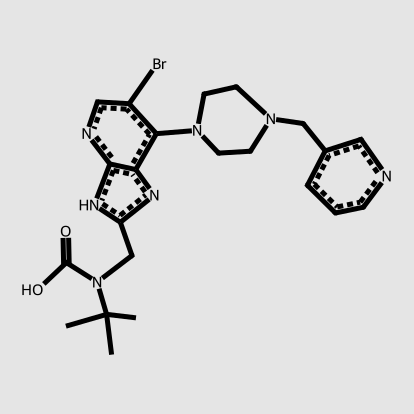 CC(C)(C)N(Cc1nc2c(N3CCN(Cc4cccnc4)CC3)c(Br)cnc2[nH]1)C(=O)O